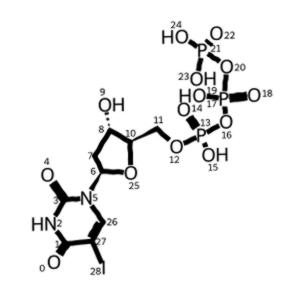 O=c1[nH]c(=O)n([C@H]2C[C@H](O)[C@@H](COP(=O)(O)OP(=O)(O)OP(=O)(O)O)O2)cc1I